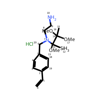 C=Cc1ccc(CN(CCN)C([SiH3])(OC)C(C)(OC)OC)cc1.Cl